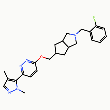 Cc1cnn(C)c1-c1ccc(OCC2CC3CN(Cc4ccccc4F)CC3C2)nn1